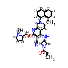 C=CC(=O)N1CC(Nc2c(C#N)c(OCC3CCCN3C)nc3c2CCN(c2cccc4cccc(C)c24)C3)C1